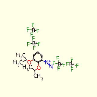 CC(C)Oc1cccc([N+]#N)c1OC(C)C.F[B-](F)(F)F.F[B-](F)(F)F.F[B-](F)(F)F.F[B-](F)(F)F